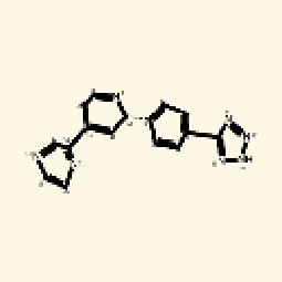 C1=N[C@H](c2ccc(-c3nn[nH]n3)cc2)C=C(c2cnccn2)C1